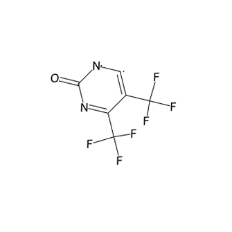 O=C1[N][C]=C(C(F)(F)F)C(C(F)(F)F)=N1